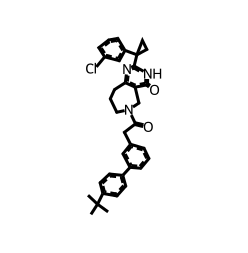 CC(C)(C)c1ccc(-c2cccc(CC(=O)N3CCCc4nc(C5(c6cccc(Cl)c6)CC5)[nH]c(=O)c4C3)c2)cc1